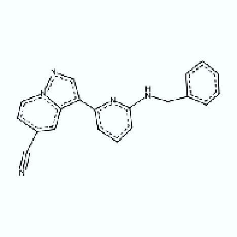 N#Cc1ccn2ncc(-c3cccc(NCc4ccccc4)n3)c2c1